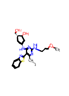 CCOCCCNc1nc(C)c(-c2nc3ccccc3s2)c(N[C@@H]2C[C@H](CO)[C@@H](O)C2)n1